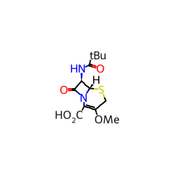 COC1=C(C(=O)O)N2C(=O)[C@@H](NC(=O)C(C)(C)C)[C@@H]2SC1